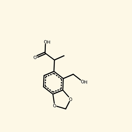 CC(C(=O)O)c1ccc2c(c1CO)OCO2